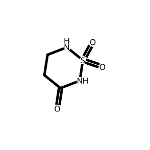 O=C1CCNS(=O)(=O)N1